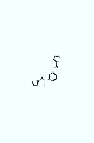 O=C(Nc1cccc(NC(=O)c2cccs2)c1)c1cccs1